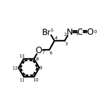 O=C=NCC(Br)COc1ccccc1